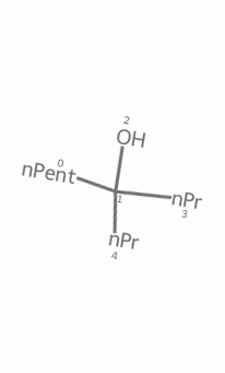 CCCCCC(O)(CCC)CCC